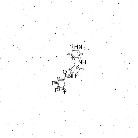 CNc1cc(NC2CCC(NC(=O)c3cc(F)c(F)c(F)c3)CC2)ncc1C